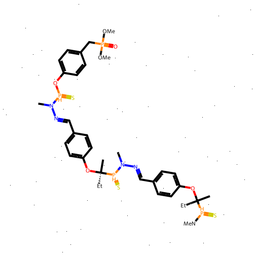 CCC(C)(Oc1ccc(/C=N/N(C)[PH](=S)[C@@](C)(CC)Oc2ccc(/C=N/N(C)[PH](=S)Oc3ccc(CP(=O)(OC)OC)cc3)cc2)cc1)[PH](=S)NC